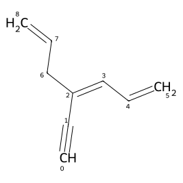 C#CC(=CC=C)CC=C